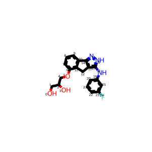 OCC(O)COc1cccc2c1Cc1c-2n[nH]c1Nc1cccc(F)c1